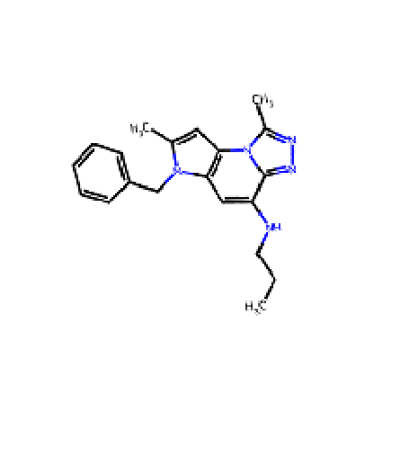 CCCNc1cc2c(cc(C)n2Cc2ccccc2)n2c(C)nnc12